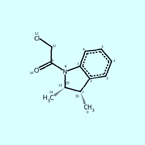 C[C@H]1c2ccccc2N(C(=O)CCl)[C@H]1C